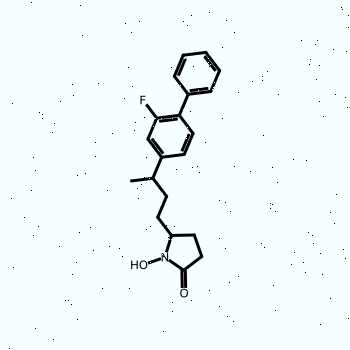 CC(CCC1CCC(=O)N1O)c1ccc(-c2ccccc2)c(F)c1